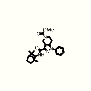 COC(=O)N1CCc2c(c(C(=O)NC3C4(C)CCC(C4)C3(C)C)nn2-c2ccccc2)C1